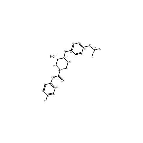 Cc1ccc(OC(=S)N2CCC(Cc3ccc(CN(C)C)cc3)CC2)cc1.Cl